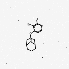 Clc1cccc(OC2CC3CCCC(C2)N3)c1Br